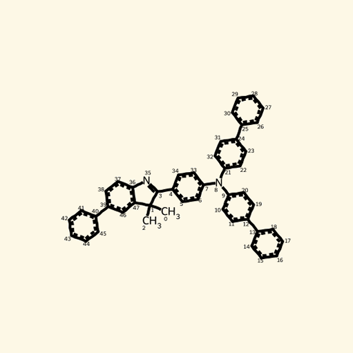 CC1(C)C(c2ccc(N(c3ccc(-c4ccccc4)cc3)c3ccc(-c4ccccc4)cc3)cc2)=Nc2ccc(-c3ccccc3)cc21